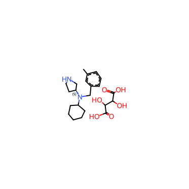 Cc1cccc(CN(C2CCCCC2)[C@H]2CCNC2)c1.O=C(O)C(O)C(O)C(=O)O